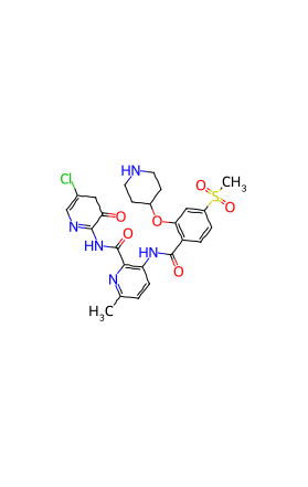 Cc1ccc(NC(=O)c2ccc(S(C)(=O)=O)cc2OC2CCNCC2)c(C(=O)NC2=NC=C(Cl)CC2=O)n1